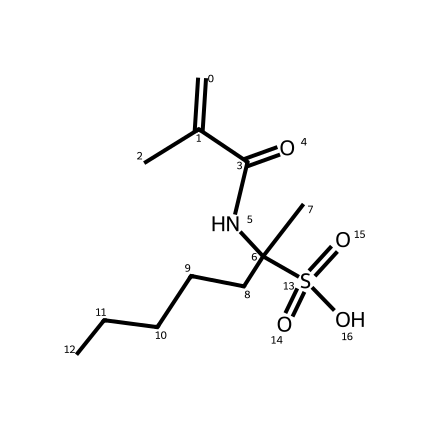 C=C(C)C(=O)NC(C)(CCCCC)S(=O)(=O)O